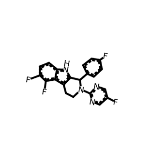 Fc1ccc(C2c3[nH]c4ccc(F)c(F)c4c3CCN2c2ncc(F)cn2)cc1